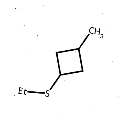 CCSC1CC(C)C1